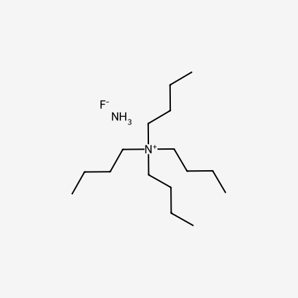 CCCC[N+](CCCC)(CCCC)CCCC.N.[F-]